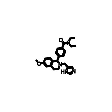 CCN(CC)C(=O)c1ccc(C2c3ccc(OC)cc3CCN2Cc2cnc[nH]2)cc1